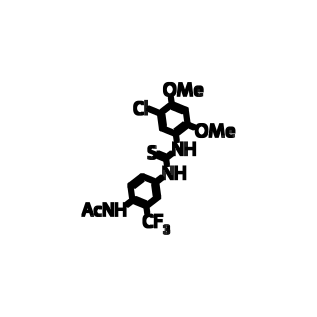 COc1cc(OC)c(NC(=S)Nc2ccc(NC(C)=O)c(C(F)(F)F)c2)cc1Cl